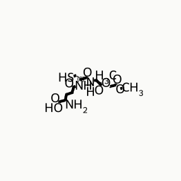 COC(COC(=O)CNC(=O)[C@@H](CS)NC(=O)CCC(N)C(=O)O)OC